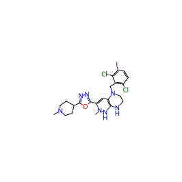 CN1CCC(c2nnc(C3=CC4=C(NCCN4Cc4c(Cl)ccc(I)c4Cl)NN3C)o2)CC1